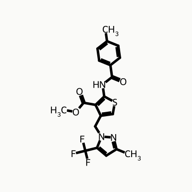 COC(=O)c1c(Cn2nc(C)cc2C(F)(F)F)csc1NC(=O)c1ccc(C)cc1